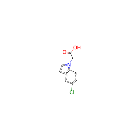 O=C(O)Cn1ccc2cc(Cl)ccc21